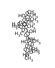 CCN[C@H]1CO[C@@H](O[C@H]2[C@H](OC)O[C@H](C)[C@@H](NO[C@H]3C[C@H](O)[C@H](SC(=O)c4c(C)c(C)c(O[C@@H]5O[C@@H](C)[C@H](C)[C@@H](OC)[C@H]5O)c(OC)c4OC)[C@@H](CC)O3)[C@@H]2O)C[C@@H]1OC